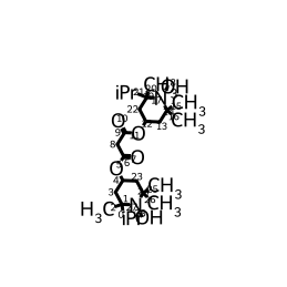 CC(C)C1(C)CC(OC(=O)CC(=O)OC2CC(C)(C)N(O)C(C)(C(C)C)C2)CC(C)(C)N1O